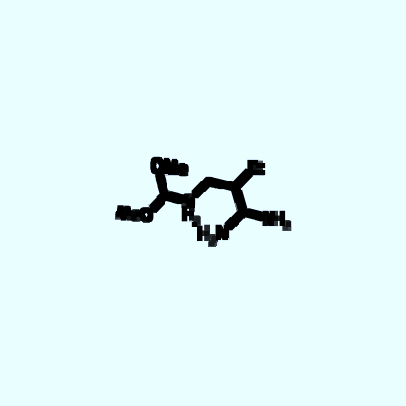 CCC(C[SiH2]C(OC)OC)C(N)N